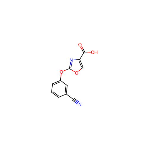 N#Cc1cccc(Oc2nc(C(=O)O)co2)c1